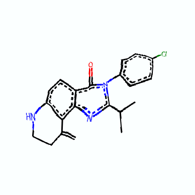 C=C1CCNc2ccc3c(=O)n(-c4ccc(Cl)cc4)c(C(C)C)nc3c21